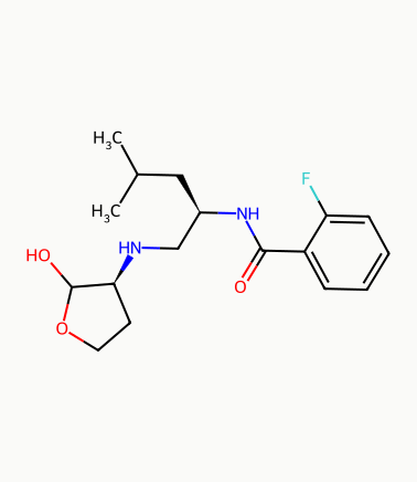 CC(C)C[C@H](CN[C@H]1CCOC1O)NC(=O)c1ccccc1F